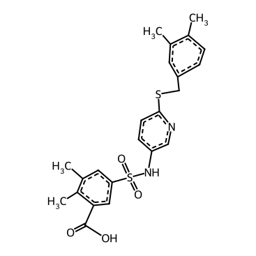 Cc1ccc(CSc2ccc(NS(=O)(=O)c3cc(C)c(C)c(C(=O)O)c3)cn2)cc1C